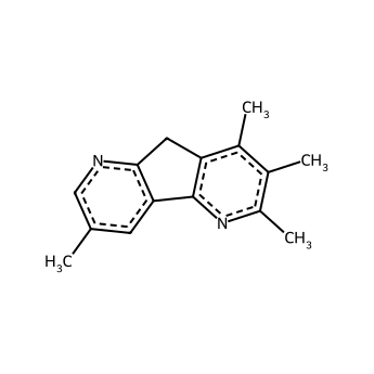 Cc1cnc2c(c1)-c1nc(C)c(C)c(C)c1C2